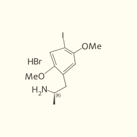 Br.COc1cc(C[C@@H](C)N)c(OC)cc1I